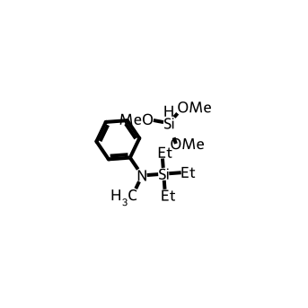 CC[Si](CC)(CC)N(C)c1ccccc1.CO[SiH](OC)OC